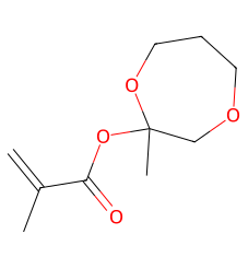 C=C(C)C(=O)OC1(C)COCCCO1